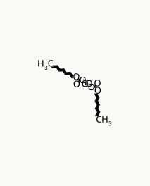 CCCCCCCCOC(=O)OOOOC(=O)OCCCCCCCC